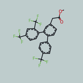 COC(=O)Cc1ccc(-c2ccc(C(F)(F)F)cc2)c(-c2ccc(C(F)(F)F)cc2C(F)(F)F)c1